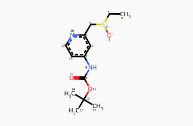 CC[S+]([O-])Cc1cc(NC(=O)OC(C)(C)C)ccn1